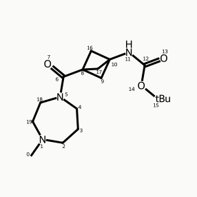 CN1CCCN(C(=O)C23CC(NC(=O)OC(C)(C)C)(C2)C3)CC1